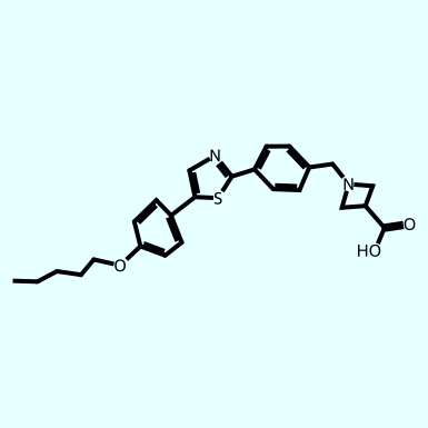 CCCCCOc1ccc(-c2cnc(-c3ccc(CN4CC(C(=O)O)C4)cc3)s2)cc1